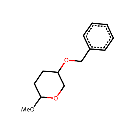 COC1CCC(OCc2ccccc2)CO1